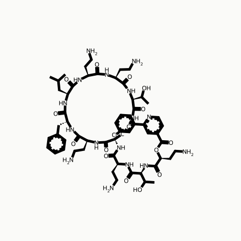 CC(C)C[C@@H]1NC(=O)[C@@H](Cc2ccccc2)NC(=O)[C@H](CCN)NC(=O)[C@@H](NC(=O)[C@H](CCN)NC(=O)[C@@H](NC(=O)[C@H](CCN)OC(=O)c2ccnc(-c3cccc(Cl)c3)c2)C(C)O)CCNC(=O)[C@H](C(C)O)NC(=O)[C@H](CCN)NC(=O)[C@H](CCN)NC1=O